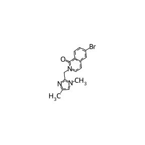 Cc1cn(C)c(Cn2ccc3cc(Br)ccc3c2=O)n1